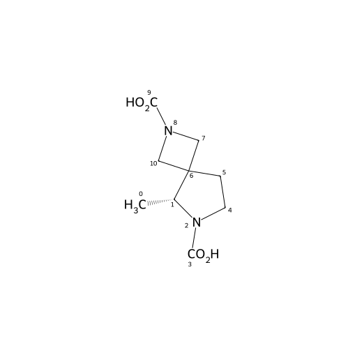 C[C@H]1N(C(=O)O)CCC12CN(C(=O)O)C2